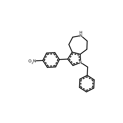 O=[N+]([O-])c1ccc(-c2cn(Cc3ccccc3)c3c2CCNCC3)cc1